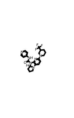 O=C(Nc1ccncc1)N1c2nc(N3CCCC(C(F)(F)F)C3)ccc2N2CCC[C@H]21